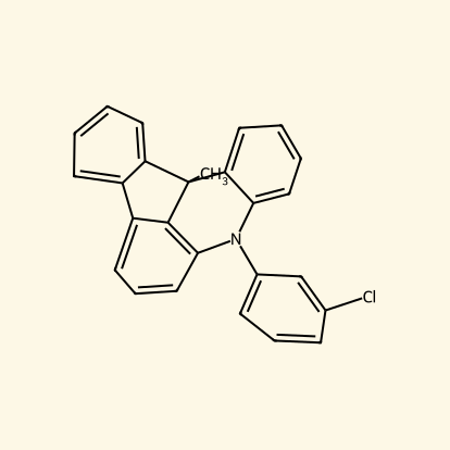 CC12c3ccccc3-c3cccc(c31)N(c1cccc(Cl)c1)c1ccccc12